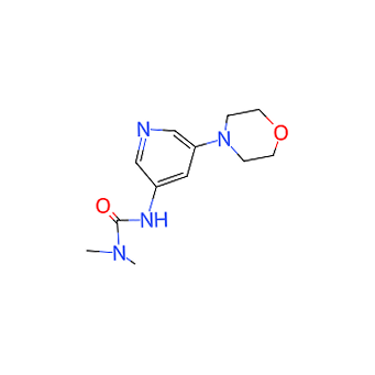 CN(C)C(=O)Nc1cncc(N2CCOCC2)c1